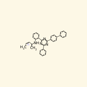 C=C(/C=C\C)Nc1ccccc1-c1nc(-c2ccccc2)nc(-c2ccc(-c3ccccc3)cc2)n1